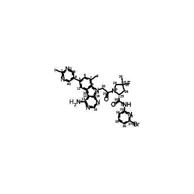 Cc1ncc(-c2cc(C)c3c(c2)c2c(N)ncnc2n3CC(=O)N2C[C@](C)(F)C[C@H]2C(=O)Nc2cccc(Br)n2)cn1